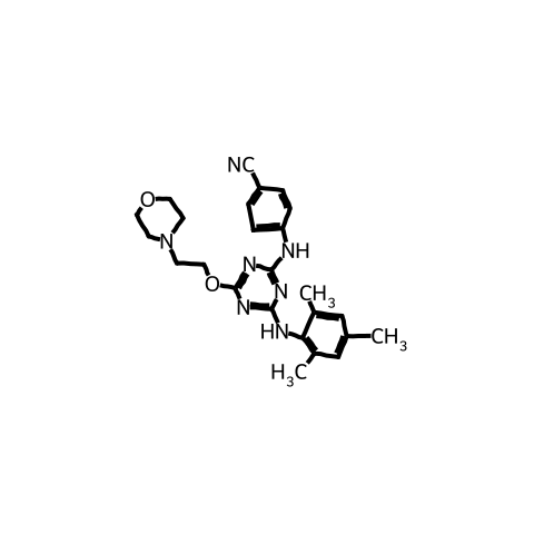 Cc1cc(C)c(Nc2nc(Nc3ccc(C#N)cc3)nc(OCCN3CCOCC3)n2)c(C)c1